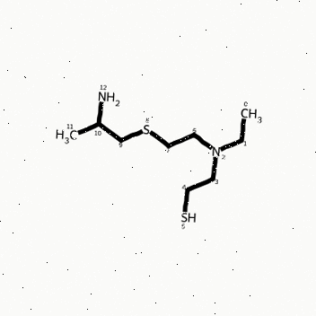 CCN(CCS)CCSCC(C)N